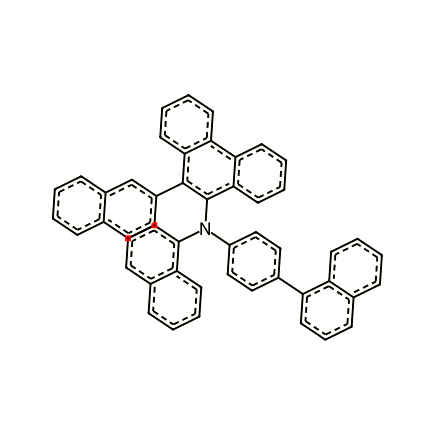 c1ccc2cc(-c3c(N(c4ccc(-c5cccc6ccccc56)cc4)c4cccc5ccccc45)c4ccccc4c4ccccc34)ccc2c1